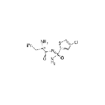 CC(C)C[C@H](N)C(=O)N=S(N)(=O)c1cc(Cl)cs1